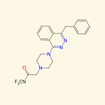 O=C(CN1CCN(c2nnc(Cc3ccccc3)c3ccccc23)CC1)NC(F)(F)F